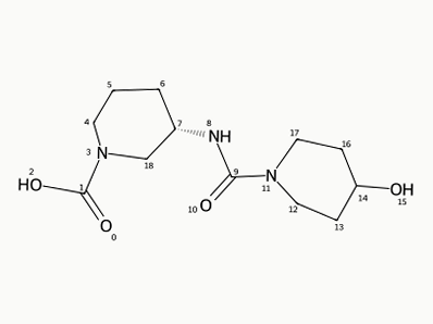 O=C(O)N1CCC[C@H](NC(=O)N2CCC(O)CC2)C1